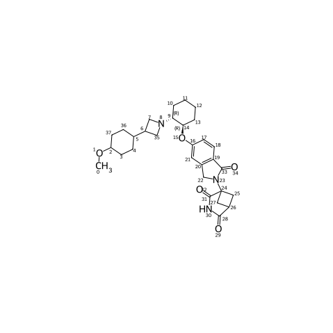 COC1CCC(C2CN([C@@H]3CCCC[C@H]3Oc3ccc4c(c3)CN(C35CC(C3)C(=O)NC5=O)C4=O)C2)CC1